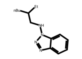 CCCCC(CC)CNn1nnc2ccccc21